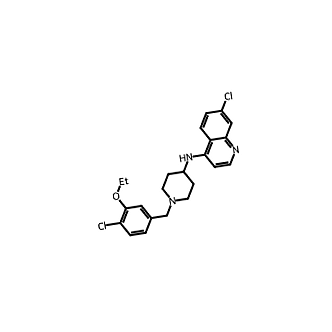 CCOc1cc(CN2CCC(Nc3ccnc4cc(Cl)ccc34)CC2)ccc1Cl